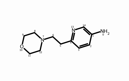 Nc1ccc(CCN2CCOCC2)nc1